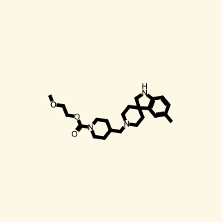 COCCOC(=O)N1CCC(CN2CCC3(CC2)CNc2ccc(C)cc23)CC1